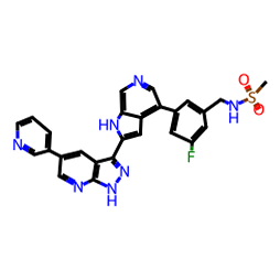 CS(=O)(=O)NCc1cc(F)cc(-c2cncc3[nH]c(-c4n[nH]c5ncc(-c6cccnc6)cc45)cc23)c1